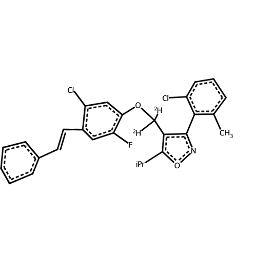 [2H]C([2H])(Oc1cc(Cl)c(/C=C/c2ccccc2)cc1F)c1c(-c2c(C)cccc2Cl)noc1C(C)C